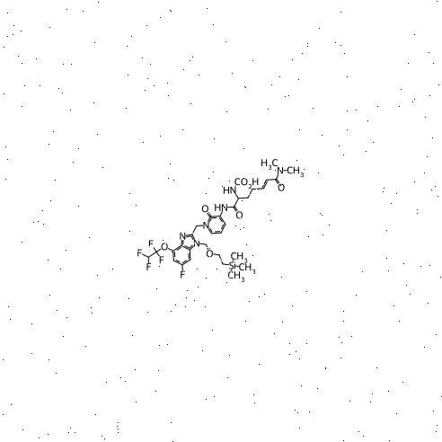 CN(C)C(=O)C=CCCC(NC(=O)O)C(=O)Nc1cccn(Cc2nc3c(OC(F)(F)C(F)F)cc(F)cc3n2COCC[Si](C)(C)C)c1=O